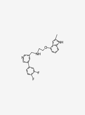 Cc1cc2c(OCCNCc3cncc(-c4ccc(F)c(F)c4)c3)cccc2[nH]1